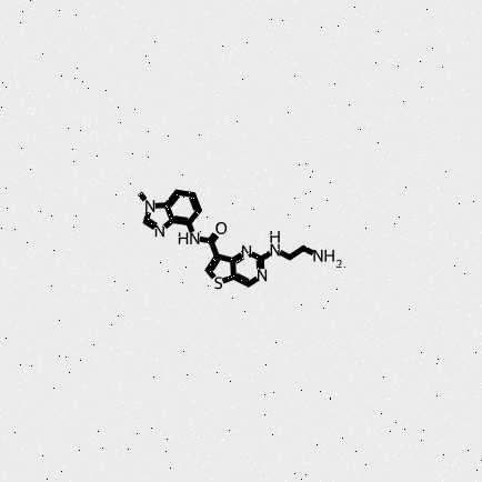 Cn1cnc2c(NC(=O)c3csc4cnc(NCCN)nc34)cccc21